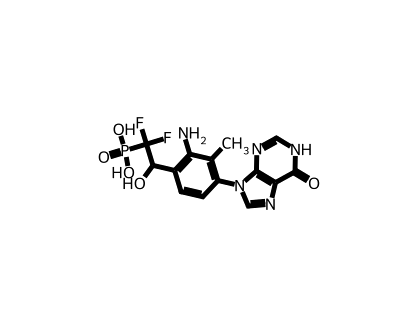 Cc1c(-n2cnc3c(=O)[nH]cnc32)ccc(C(O)C(F)(F)P(=O)(O)O)c1N